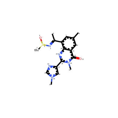 CC(=N[S@+]([O-])C(C)(C)C)c1cc(C)cc2c(=O)n(C)c(-c3cn(C)cn3)nc12